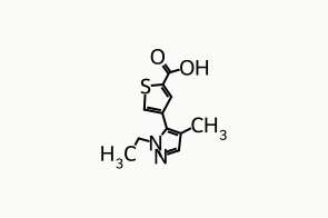 CCn1ncc(C)c1-c1csc(C(=O)O)c1